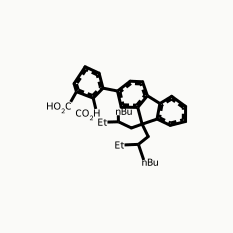 CCCCC(CC)CC1(CC(CC)CCCC)c2ccccc2-c2ccc(-c3cccc(C(=O)O)c3C(=O)O)cc21